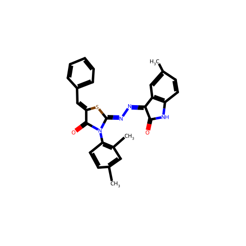 Cc1ccc(N2C(=O)C(=Cc3ccccc3)SC2=NN=C2C(=O)Nc3ccc(C)cc32)c(C)c1